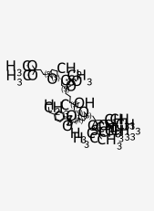 C=C1C[C@H](CCC(OC)OC)O[C@H]1CC[C@H](CCC(=C)[C@@H](O)C[C@@H]1O[C@H](CC(CO[Si](C)(C)C(C)(C)C)O[Si](C)(C)C(C)(C)C)C[C@H]1CS(=O)(=O)c1ccc(CC)cc1)OS(C)(=O)=O